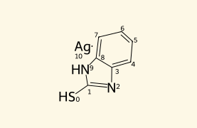 Sc1nc2ccccc2[nH]1.[Ag]